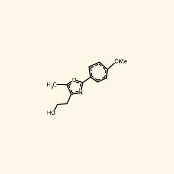 COc1ccc(-c2nc(CCO)c(C)o2)cc1